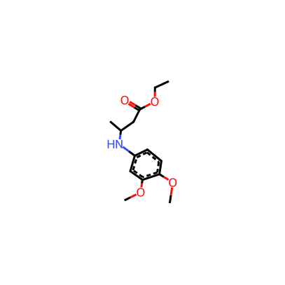 CCOC(=O)CC(C)Nc1ccc(OC)c(OC)c1